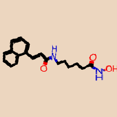 O=C(C=Cc1cccc2ccccc12)NCCCCCC(=O)NO